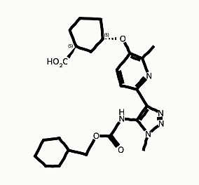 Cc1nc(-c2nnn(C)c2NC(=O)OCC2CCCCC2)ccc1O[C@H]1CCC[C@H](C(=O)O)C1